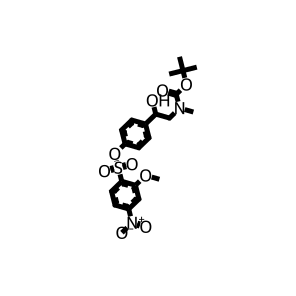 COc1cc([N+](=O)[O-])ccc1S(=O)(=O)Oc1ccc(C(O)CN(C)C(=O)OC(C)(C)C)cc1